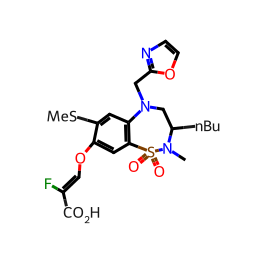 CCCCC1CN(Cc2ncco2)c2cc(SC)c(O/C=C(\F)C(=O)O)cc2S(=O)(=O)N1C